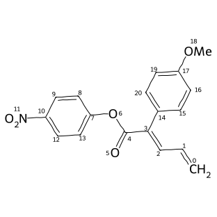 C=CC=C(C(=O)Oc1ccc([N+](=O)[O-])cc1)c1ccc(OC)cc1